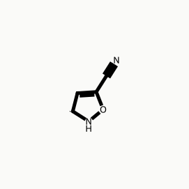 N#CC1=C[CH]NO1